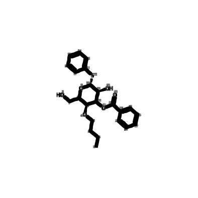 CCCCO[C@H]1C(CO)O[C@H](Sc2ccccc2)[C@@H](O)C1OC(=O)c1ccccc1